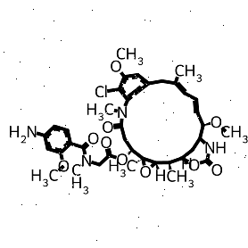 COc1cc(N)ccc1C(=O)N(C)CC(=O)O[C@H]1CC(=O)N(C)c2cc(cc(OC)c2Cl)C/C(C)=C/C=C/[C@@H](OC)C2C[C@H](OC(=O)N2)[C@@H](C)[C@@H]2O[C@@]12C